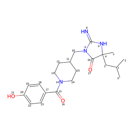 CC(C)CC1(C)NC(=N)N(CC2CCN(C(=O)c3ccc(O)cc3)CC2)C1=O